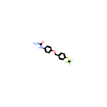 NC(=O)Nc1ccc(OCc2ccc(SC(F)(F)F)cc2)cc1